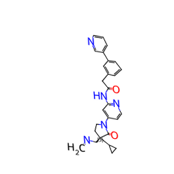 C=NC[C@@]1(C2CC2)CCN(c2ccnc(NC(=O)Cc3cccc(-c4cccnc4)c3)c2)C1=O